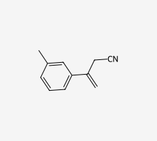 C=C(CC#N)c1cccc(C)c1